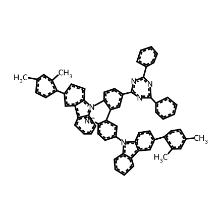 Cc1ccc(-c2ccc3c(c2)c2ccccc2n3-c2ccc(C#N)c(-c3cc(-c4nc(-c5ccccc5)nc(-c5ccccc5)n4)ccc3-n3c4ccccc4c4cc(-c5ccc(C)cc5C)ccc43)c2)c(C)c1